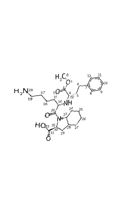 COC(=O)[C@H](CCc1ccccc1)NC(CCCCN)C(=O)N1C2CCCCC2C[C@H]1C(=O)O